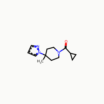 CC1(n2cccn2)CCN(C(=O)C2CC2)CC1